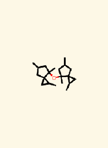 CC1CC(C)(OC2(C)CC(C)CC23CC3C)C2(C1)CC2C